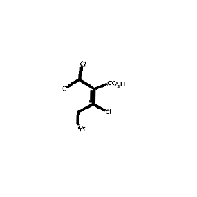 CC(C)CC(Cl)=C(C(=O)O)C(Cl)Cl